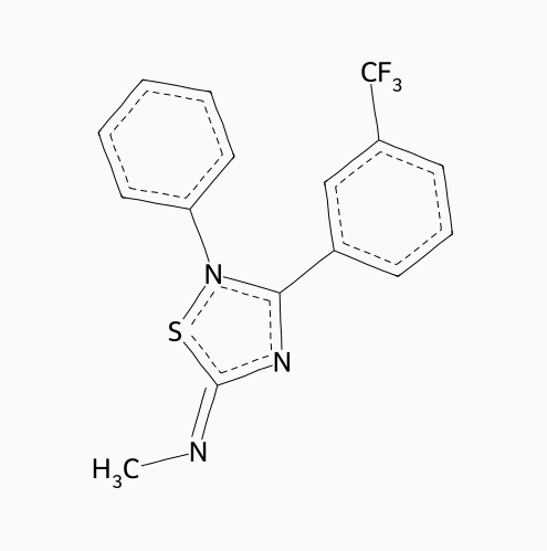 CN=c1nc(-c2cccc(C(F)(F)F)c2)n(-c2ccccc2)s1